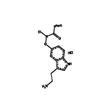 CCCCCC(=O)N(CC)Oc1ccc2[nH]cc(CCN)c2c1.Cl